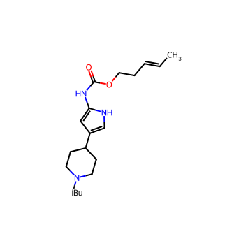 CC=CCCOC(=O)Nc1cc(C2CCN(C(C)CC)CC2)c[nH]1